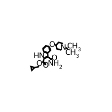 CC(C)N1CCC(Oc2ccc3[nH]c(C(=O)OCC4CC4)c(C(N)=O)c3c2)CC1